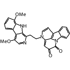 COc1cccc2c1[nH]c1c(CCn3ccc4c5n(c(=O)c(=O)cc3-5)c3ccccc43)ncc(OC)c12